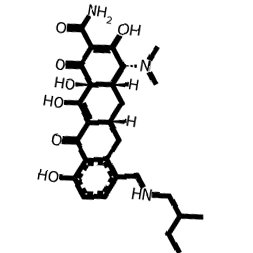 CCC(C)CNCc1ccc(O)c2c1C[C@H]1C[C@H]3[C@@H](N(C)C)C(O)=C(C(N)=O)C(=O)[C@@]3(O)C(O)=C1C2=O